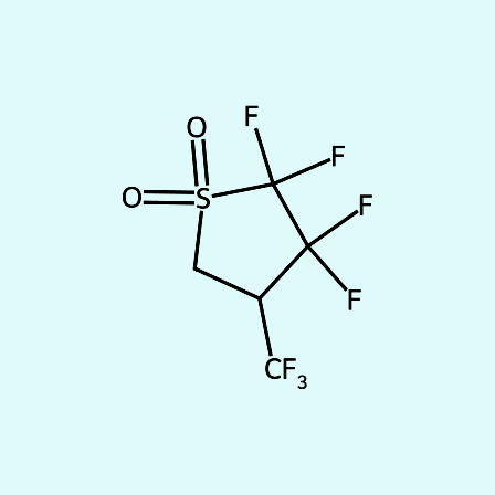 O=S1(=O)CC(C(F)(F)F)C(F)(F)C1(F)F